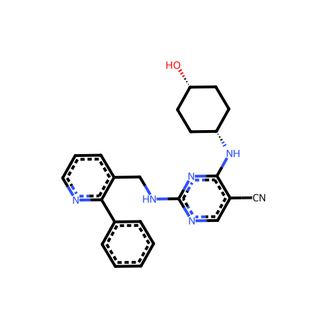 N#Cc1cnc(NCc2cccnc2-c2ccccc2)nc1N[C@H]1CC[C@@H](O)CC1